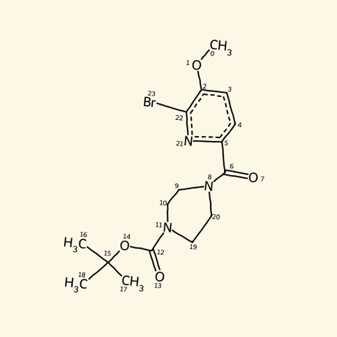 COc1ccc(C(=O)N2CCN(C(=O)OC(C)(C)C)CC2)nc1Br